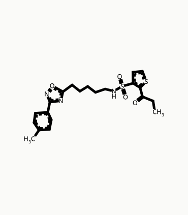 CCC(=O)c1sccc1S(=O)(=O)NCCCCCc1nc(-c2ccc(C)cc2)no1